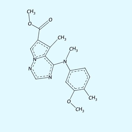 COC(=O)c1cn2ncnc(N(C)c3ccc(C)c(OC)c3)c2c1C